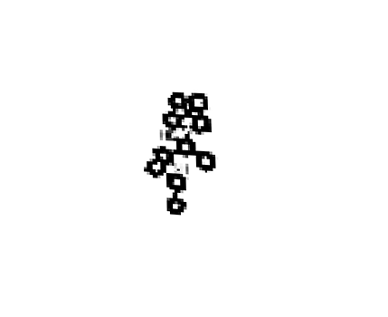 B1c2cccc3c2N(c2ccccc2C3(c2ccccc2)c2ccccc2)c2cc(-c3ccccc3)cc(-c3ccc4ccccc4c3Nc3ccc(-c4ccccc4)cc3)c21